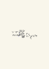 CCCC/C(=C/C(=O)[O-])C(=O)[O-].CCCC/C(=C/C(=O)[O-])C(=O)[O-].COC(=O)C[CH2][SnH2+4][CH2]CC(=O)OC